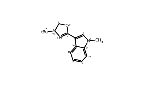 Cn1cc(C2=N[C@@H](C(C)(C)C)CO2)c2ccccc21